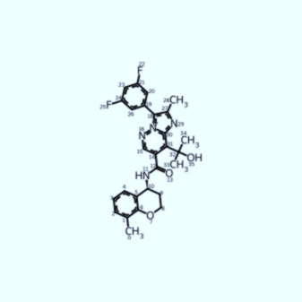 Cc1cccc2c1OCC[C@@H]2NC(=O)c1cnn2c(-c3cc(F)cc(F)c3)c(C)nc2c1C(C)(C)O